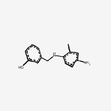 Cc1cc(N)ccc1NCc1cccc(O)c1